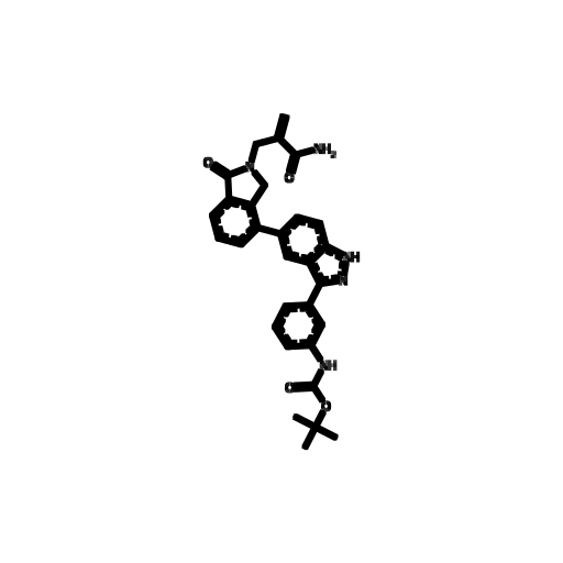 C=C(CN1Cc2c(cccc2-c2ccc3[nH]nc(-c4cccc(NC(=O)OC(C)(C)C)c4)c3c2)C1=O)C(N)=O